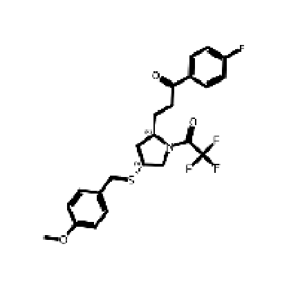 COc1ccc(CS[C@@H]2C[C@@H](CCC(=O)c3ccc(F)cc3)N(C(=O)C(F)(F)F)C2)cc1